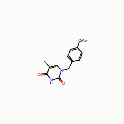 COc1ccc(Cn2cc(I)c(=O)[nH]c2=O)cc1